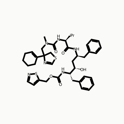 CC(C)[C@H](NC(=O)N(C)CC1(C2=CCCCC2)CSC=N1)C(=O)N[C@@H](Cc1ccccc1)C[C@H](O)[C@H](Cc1ccccc1)NC(=O)OCc1ccns1